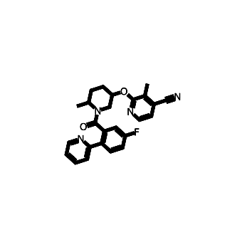 Cc1c(C#N)ccnc1OC1CCC(C)N(C(=O)c2cc(F)ccc2-c2ccccn2)C1